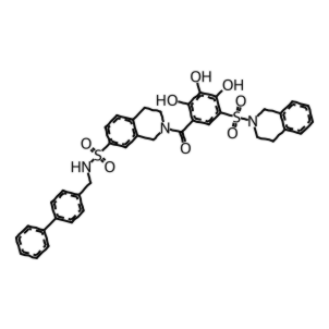 O=C(c1cc(S(=O)(=O)N2CCc3ccccc3C2)c(O)c(O)c1O)N1CCc2ccc(S(=O)(=O)NCc3ccc(-c4ccccc4)cc3)cc2C1